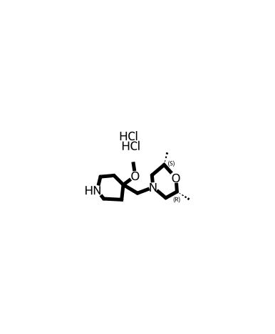 COC1(CN2C[C@@H](C)O[C@@H](C)C2)CCNCC1.Cl.Cl